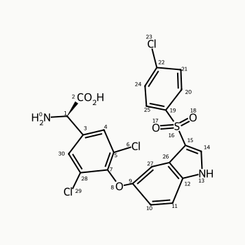 N[C@@H](C(=O)O)c1cc(Cl)c(Oc2ccc3[nH]cc(S(=O)(=O)c4ccc(Cl)cc4)c3c2)c(Cl)c1